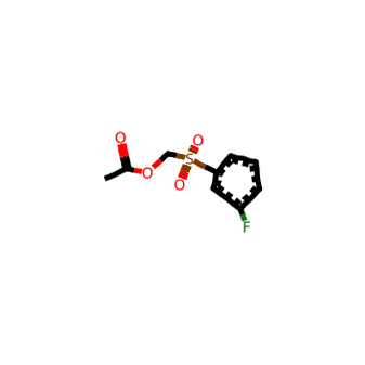 CC(=O)OCS(=O)(=O)c1cccc(F)c1